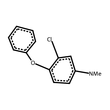 CNc1ccc(Oc2ccccc2)c(Cl)c1